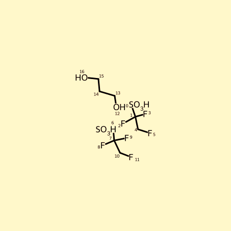 O=S(=O)(O)C(F)(F)CF.O=S(=O)(O)C(F)(F)CF.OCCCO